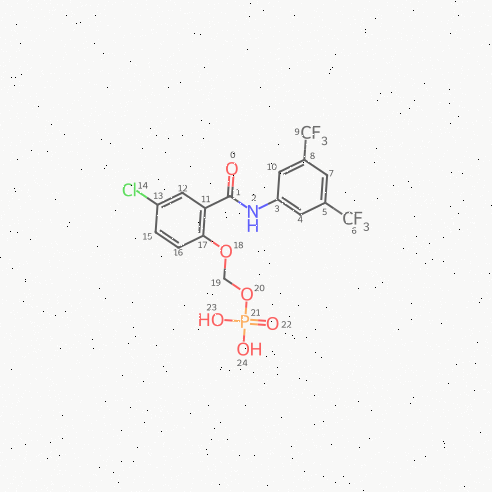 O=C(Nc1cc(C(F)(F)F)cc(C(F)(F)F)c1)c1cc(Cl)ccc1OCOP(=O)(O)O